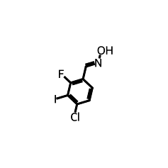 ON=Cc1ccc(Cl)c(I)c1F